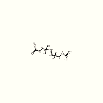 CC(C)(COC(=O)Cl)N=NC(C)(C)COC(=O)Cl